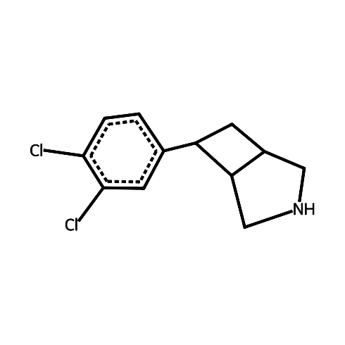 Clc1ccc(C2CC3CNCC32)cc1Cl